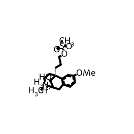 COc1ccc2c(c1)[C@]1(CCCOS(C)(=O)=O)CCN(C)[C@H](C2)[C@]1(C)O